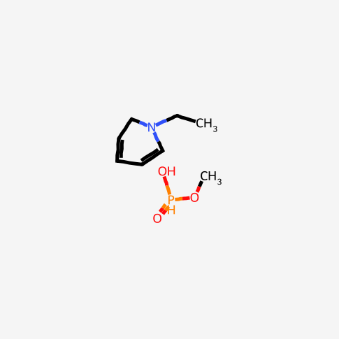 CCN1C=CC=CC1.CO[PH](=O)O